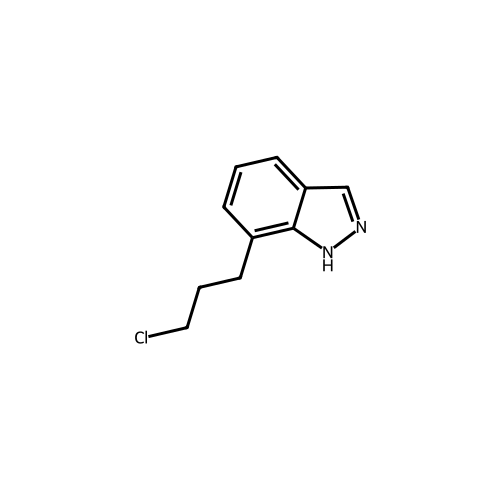 ClCCCc1cccc2cn[nH]c12